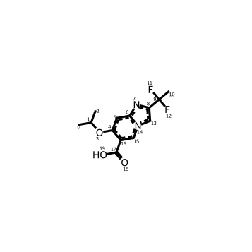 CC(C)Oc1cc2nc(C(C)(F)F)cn2cc1C(=O)O